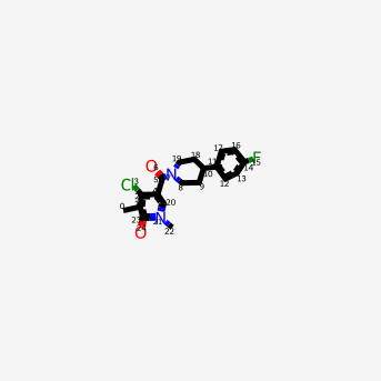 Cc1c(Cl)c(C(=O)N2CCC(c3ccc(F)cc3)CC2)cn(C)c1=O